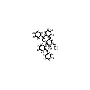 O=c1cc(CCl)n(OC(c2ccccc2)c2ccccc2)cc1OC(c1ccccc1)c1ccccc1